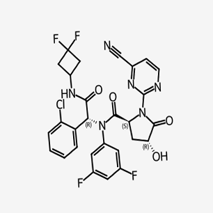 N#Cc1ccnc(N2C(=O)[C@H](O)C[C@H]2C(=O)N(c2cc(F)cc(F)c2)[C@@H](C(=O)NC2CC(F)(F)C2)c2ccccc2Cl)n1